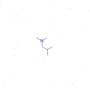 CC(C)CN(C)C